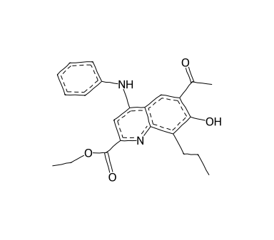 CCCc1c(O)c(C(C)=O)cc2c(Nc3ccccc3)cc(C(=O)OCC)nc12